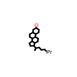 CC(C)CCCC(C)C1CCC2C1CCC1C3CCC(=O)CC3CCC12